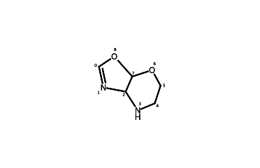 C1=NC2NCCOC2O1